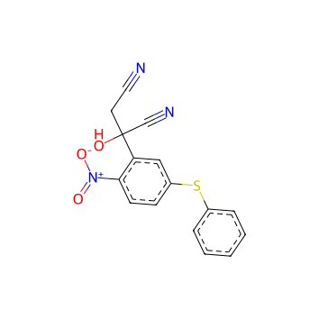 N#CCC(O)(C#N)c1cc(Sc2ccccc2)ccc1[N+](=O)[O-]